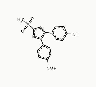 COc1ccc(-n2nc(S(C)(=O)=O)cc2-c2ccc(O)cc2)cc1